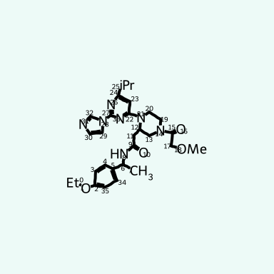 CCOc1ccc(C(C)NC(=O)CC2CN(C(=O)COC)CCN2c2cc(C(C)C)nc(-n3ccnc3)n2)cc1